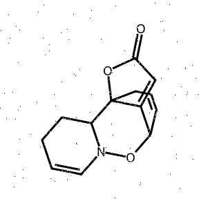 O=C1C=C2C3C=CCC2(O1)C1CCC=CN1O3